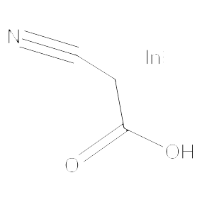 N#CCC(=O)O.[In]